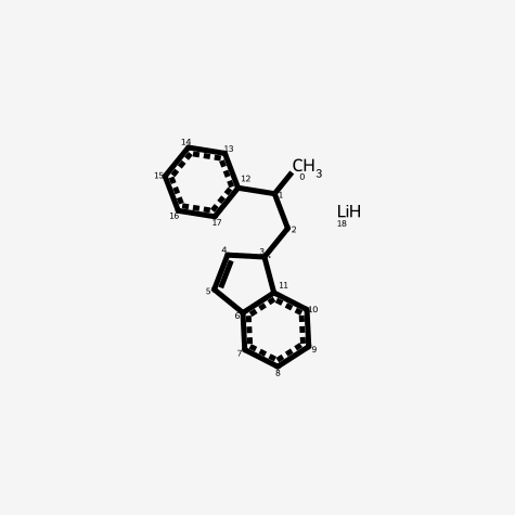 CC(C[C]1C=Cc2ccccc21)c1ccccc1.[LiH]